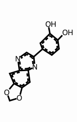 Oc1ccc(-c2cnc3cc4c(cc3n2)OCO4)cc1O